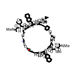 CN[C@@H](C)C(=O)N[C@H](C(=O)N1CC2CC1C(=O)N[C@@H](Cc1ccc3ccccc3c1)C(=O)N[C@H](C(=O)NS(=O)(=O)C1CC1)Cc1ccc(cc1)OCc1cn(nn1)C1C[C@@H](C(=O)N[C@@H](Cc3ccc4ccccc4c3)C(=O)N[C@H](C(=O)O)Cc3ccc(cc3)OC/C=C/CO2)N(C(=O)[C@@H](NC(=O)[C@H](C)NC)C(C)(C)C)C1)C1CCOCC1